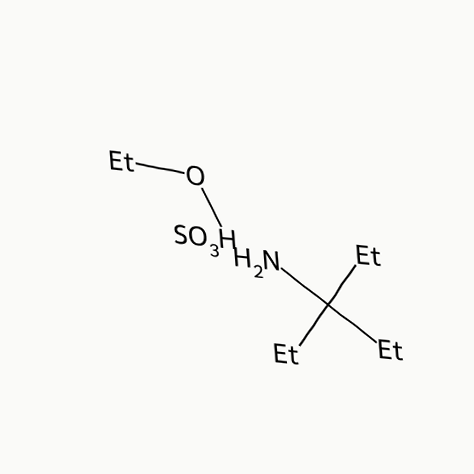 CCC(N)(CC)CC.CCOS(=O)(=O)O